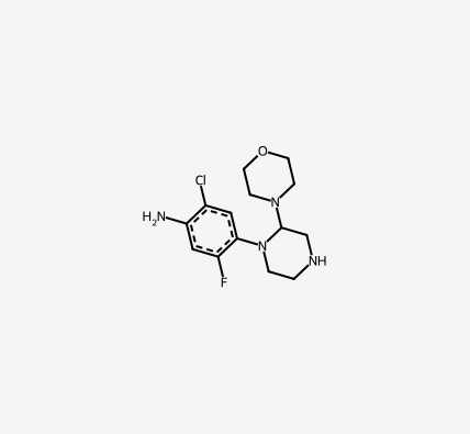 Nc1cc(F)c(N2CCNCC2N2CCOCC2)cc1Cl